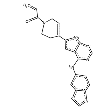 C=CC(=O)N1CC=C(c2cc3c(Nc4ccc5ncsc5c4)ncnc3[nH]2)CC1